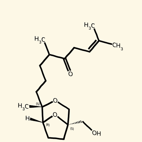 CC(C)=CCC(=O)C(C)CCC[C@]1(C)OC[C@@]2(CO)CC[C@H]1O2